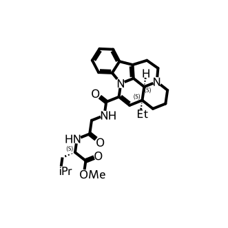 CC[C@@]12C=C(C(=O)NCC(=O)N[C@@H](CC(C)C)C(=O)OC)n3c4c(c5ccccc53)CCN(CCC1)[C@H]42